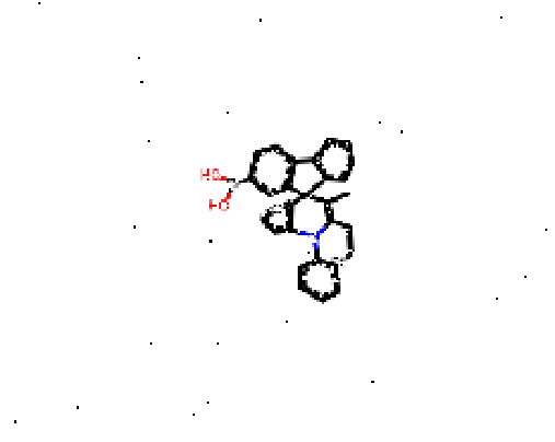 CC/C=C\C1=C(C)C2(c3ccccc3-c3ccc(B(O)O)cc32)c2ccccc2N1c1ccccc1